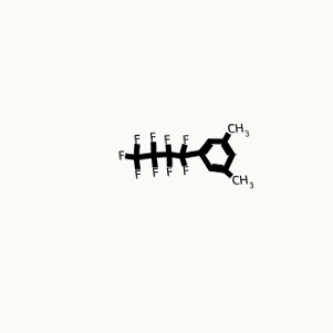 Cc1[c]c(C)cc(C(F)(F)C(F)(F)C(F)(F)C(F)(F)F)c1